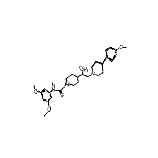 COc1ccc(C2CCN(CC(O)C3CCN(C(=S)Nc4cc(OC)cc(OC)c4)CC3)CC2)cc1